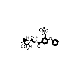 C[C@@]12C[C@@H]1N(C(=O)CNC(=O)c1ccc(Oc3ccccc3)c(COS(C)(=O)=O)c1)[C@H](C(=O)O)C2